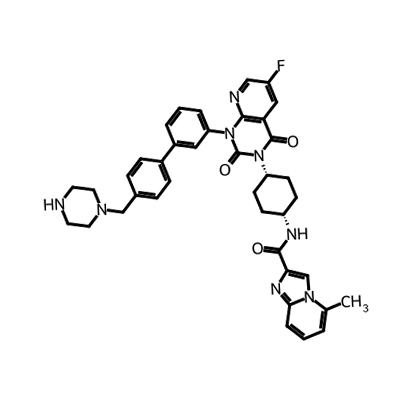 Cc1cccc2nc(C(=O)N[C@H]3CC[C@@H](n4c(=O)c5cc(F)cnc5n(-c5cccc(-c6ccc(CN7CCNCC7)cc6)c5)c4=O)CC3)cn12